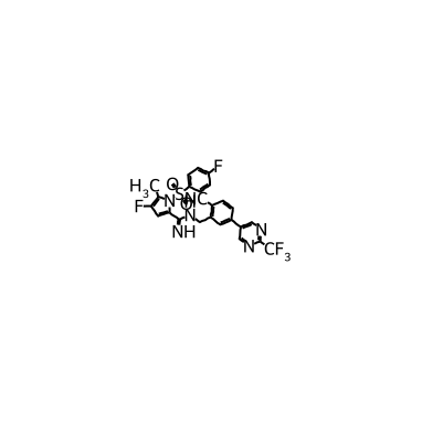 Cc1c(F)cc(C(=N)NCc2cc(-c3cnc(C(F)(F)F)nc3)ccc2C#N)n1S(=O)(=O)c1ccc(F)cc1